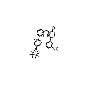 [C-]#[N+]c1cccc(-c2ccc(=O)n(Cc3cccc(-c4ncc(B5OC(C)(C)C(C)(C)O5)cn4)n3)n2)c1